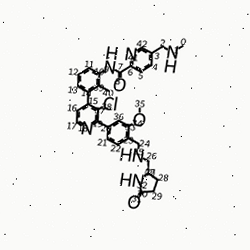 CNCc1ccc(C(=O)Nc2cccc(-c3ccnc(-c4ccc(CNC[C@H]5CCC(=O)N5)c(OC)c4)c3Cl)c2C)nc1